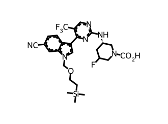 C[Si](C)(C)CCOCn1cc(-c2nc(N[C@H]3CC(F)CN(C(=O)O)C3)ncc2C(F)(F)F)c2ccc(C#N)cc21